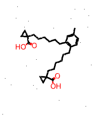 Cc1ccc(CCCCCCC2(C(=O)O)CC2)c(CCCCCCC2(C(=O)O)CC2)c1